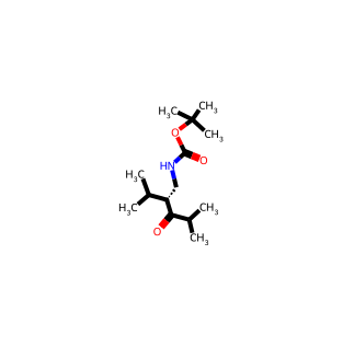 CC(C)C(=O)[C@@H](CNC(=O)OC(C)(C)C)C(C)C